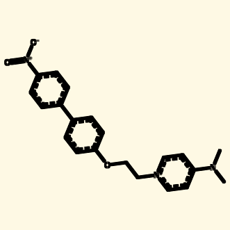 CN(C)c1cc[n+](CCOc2ccc(-c3ccc([N+](=O)[O-])cc3)cc2)cc1